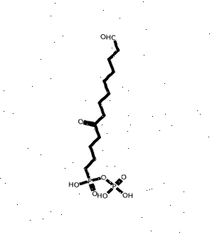 O=CCCCCCCCC(=O)CCCCP(=O)(O)OP(=O)(O)O